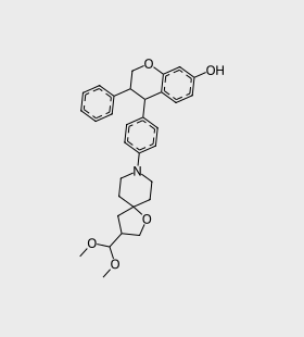 COC(OC)C1COC2(CCN(c3ccc(C4c5ccc(O)cc5OCC4c4ccccc4)cc3)CC2)C1